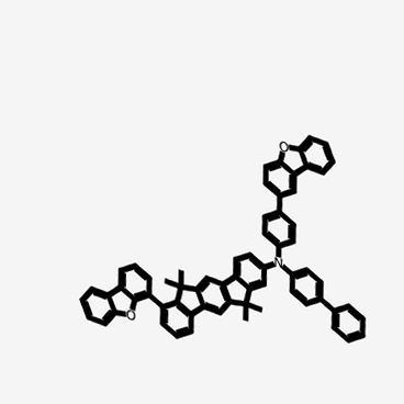 CC1(C)c2cc(N(c3ccc(-c4ccccc4)cc3)c3ccc(-c4ccc5oc6ccccc6c5c4)cc3)ccc2-c2cc3c(cc21)-c1cccc(-c2cccc4c2oc2ccccc24)c1C3(C)C